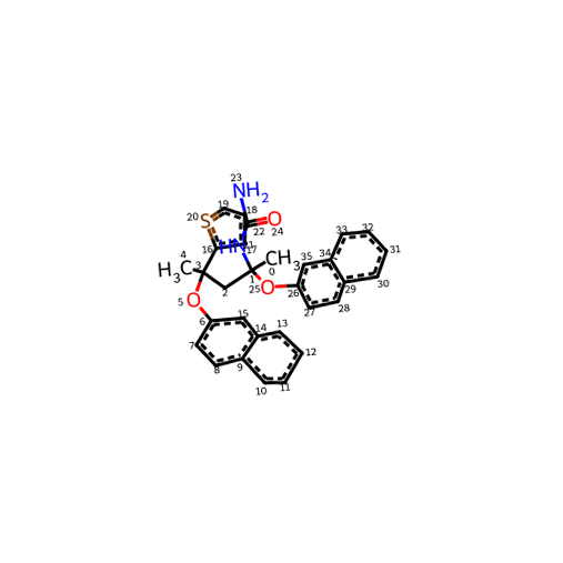 CC(CC(C)(Oc1ccc2ccccc2c1)c1cccs1)(NC(N)=O)Oc1ccc2ccccc2c1